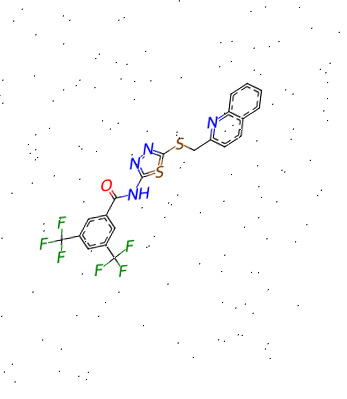 O=C(Nc1nnc(SCc2ccc3ccccc3n2)s1)c1cc(C(F)(F)F)cc(C(F)(F)F)c1